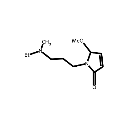 CCN(C)CCCN1C(=O)C=CC1OC